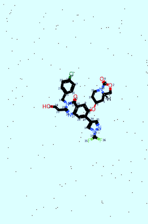 O=C1OC[C@@H]2C[C@@H](Oc3cc4c(=O)n(Cc5ccc(Cl)cc5)c(CCO)nc4cc3-c3cnn(C(F)F)c3)CCN12